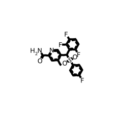 Cc1cc(C(N)=O)ncc1C(c1c(F)ccc(F)c1F)S(=O)(=O)c1ccc(F)cc1